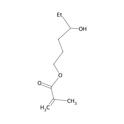 C=C(C)C(=O)OCCCC(O)CC